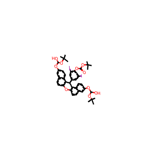 CC(C)(C)OC(=O)Oc1c(I)cc(C2c3c(ccc4cc(OC(O)OC(C)(C)C)ccc34)Oc3ccc4cc(OC(O)OC(C)(C)C)ccc4c32)cc1I